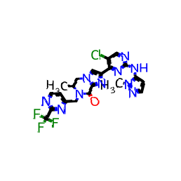 CC1Cn2cc(-c3nc(Nc4ccnn4C)ncc3Cl)nc2C(=O)N1Cc1ccnc(C(F)(F)F)n1